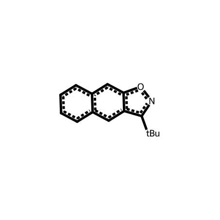 CC(C)(C)c1noc2cc3ccccc3cc12